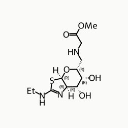 CCNC1=N[C@@H]2[C@@H](O)[C@@H](O)[C@@H](CNCC(=O)OC)O[C@@H]2S1